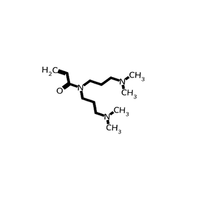 C=CC(=O)N(CCCN(C)C)CCCN(C)C